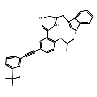 CC(C)Oc1ccc(C#Cc2cccc(C(F)(F)F)c2)cc1C(=O)N[C@@H](CO)Cc1c[nH]c2ccccc12